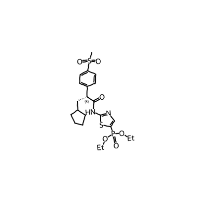 CCOP(=O)(OCC)c1cnc(NC(=O)[C@H](CC2CCCC2)c2ccc(S(C)(=O)=O)cc2)s1